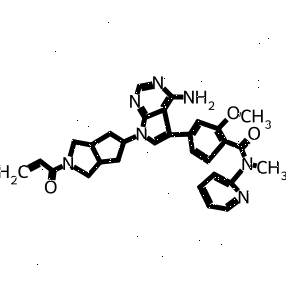 C=CC(=O)N1CC2CC(n3cc(-c4ccc(C(=O)N(C)c5ccccn5)c(OC)c4)c4c(N)ncnc43)CC2C1